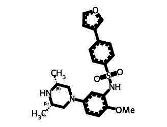 COc1ccc(N2C[C@@H](C)N[C@@H](C)C2)cc1NS(=O)(=O)c1ccc(-c2ccoc2)cc1